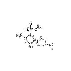 CN(C)C1CCN(c2cc(NC(=O)OC(C)(C)C)c(N)cc2Cl)CC1